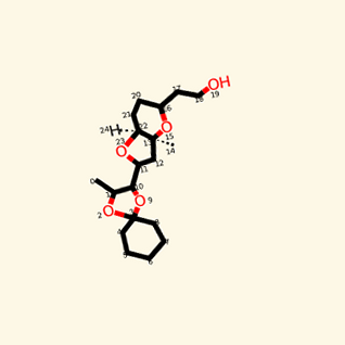 CC1OC2(CCCCC2)OC1C1C[C@]2(C)OC(CCO)CC[C@@H]2O1